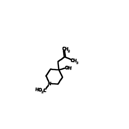 C=C(C)CC1(O)CCN(C(=O)O)CC1